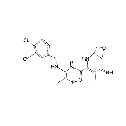 CC/C(C)=C(/NCc1ccc(Cl)c(Cl)c1)NC(=O)/C(NC1COC1)=C(\C)C=N